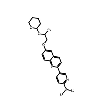 CCC(COc1ccc2nc(-c3ccc(N(CC)CC)nc3)ccc2c1)OC1CCCCO1